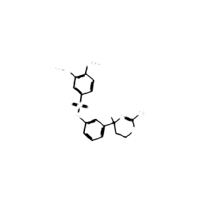 COc1ccc(S(=O)(=O)Nc2cccc(C3(C)CCSC(N)=N3)c2)cc1OC